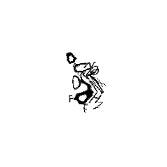 C[C@H](N)C(=O)N(C(=O)Cc1cc(F)cc(F)c1)[C@H]1CC[C@H](c2ccccc2)CN(C)C1=O